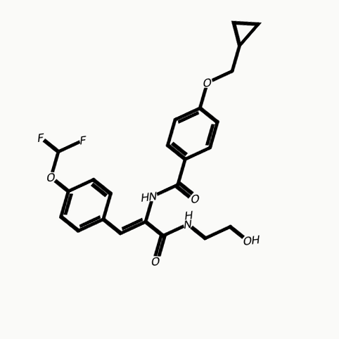 O=C(NCCO)/C(=C/c1ccc(OC(F)F)cc1)NC(=O)c1ccc(OCC2CC2)cc1